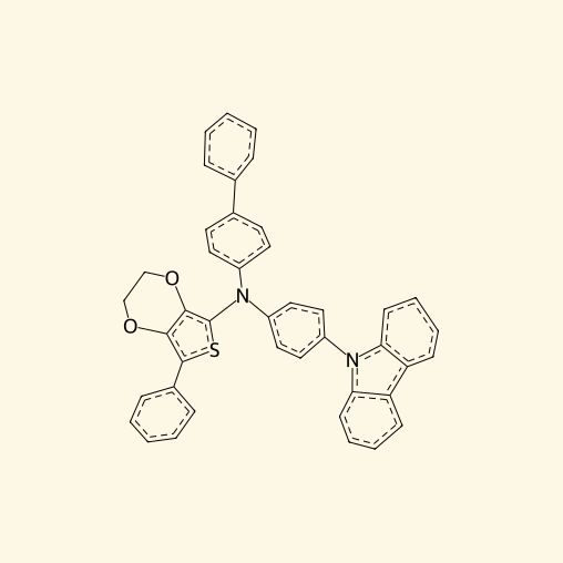 c1ccc(-c2ccc(N(c3ccc(-n4c5ccccc5c5ccccc54)cc3)c3sc(-c4ccccc4)c4c3OCCO4)cc2)cc1